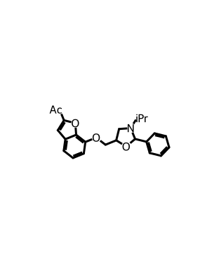 CC(=O)c1cc2cccc(OCC3CN(C(C)C)C(c4ccccc4)O3)c2o1